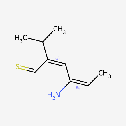 C/C=C(N)\C=C(/C=S)C(C)C